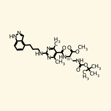 COC(=O)[C@H](CNC(=O)OC(C)(C)C)NC(=O)c1c(C)nc(NCCCc2cccc3[nH]ncc23)nc1C